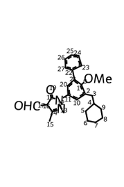 COc1c(CC2CCCCC2)cc(N2N=C(C)C(C=O)C2=O)cc1-c1ccccc1